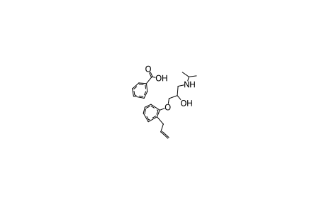 C=CCc1ccccc1OCC(O)CNC(C)C.O=C(O)c1ccccc1